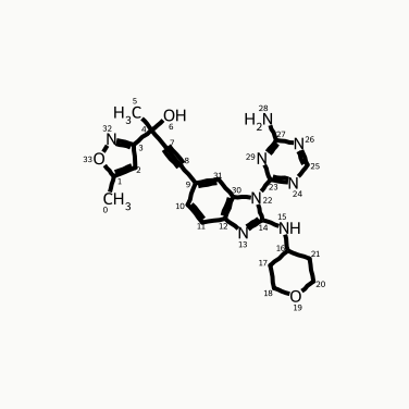 Cc1cc(C(C)(O)C#Cc2ccc3nc(NC4CCOCC4)n(-c4ncnc(N)n4)c3c2)no1